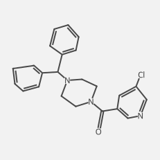 O=C(c1cncc(Cl)c1)N1CCN(C(c2ccccc2)c2ccccc2)CC1